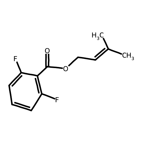 CC(C)=CCOC(=O)c1c(F)cccc1F